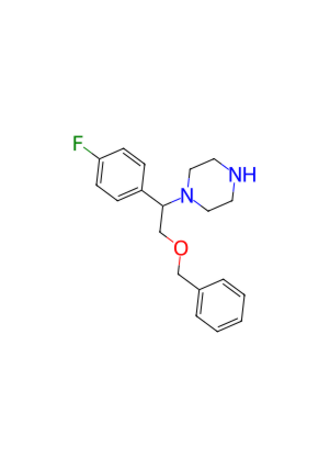 Fc1ccc(C(COCc2ccccc2)N2CCNCC2)cc1